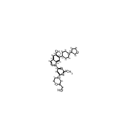 Cc1nc(N2CCOC(CO)C2)cc(-n2ncc3cc(C)c(C4CCN(C5CCOC5)CC4)cc32)n1